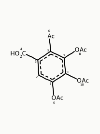 CC(=O)Oc1cc(C(=O)O)c(C(C)=O)c(OC(C)=O)c1OC(C)=O